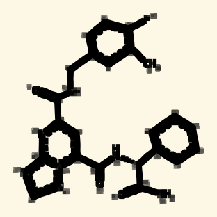 Cc1cc(CNC(=O)c2cc(C(=O)N[C@@H](C(N)=O)c3ccccc3)n3ncnc3n2)ccc1F